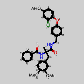 COc1ccc(Oc2ccc(CNC(=O)C(C)(Cc3ccc(OC)c(OC)c3)NC(=O)c3ccccc3)cc2)c(Cl)c1